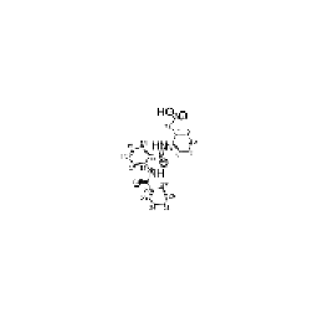 O=C(O)Cc1ccccc1NC(=O)c1ccccc1NC(=O)c1ccccc1